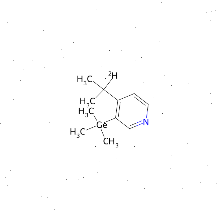 [2H]C(C)(C)c1ccnc[c]1[Ge]([CH3])([CH3])[CH3]